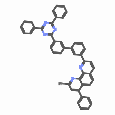 CC(C)c1cc(-c2ccccc2)c2ccc3ccc(-c4cccc(-c5cccc(-c6nc(-c7ccccc7)nc(-c7ccccc7)n6)c5)c4)nc3c2n1